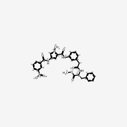 COC(=O)[C@H](Cc1ccccc1)NC(=O)Cc1cccc(NC(=O)c2cc(NC(=O)c3cccc([N+](=O)[O-])c3)cn2C)c1